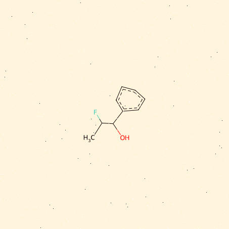 CC(F)C(O)c1ccccc1